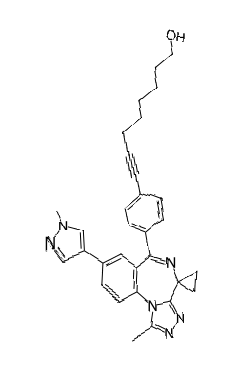 Cc1nnc2n1-c1ccc(-c3cnn(C)c3)cc1C(c1ccc(C#CCCCCCCO)cc1)=NC21CC1